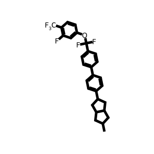 CC1CC2CC(c3ccc(-c4ccc(C(F)(F)Oc5ccc(C(F)(F)F)c(F)c5)cc4)cc3)CC2C1